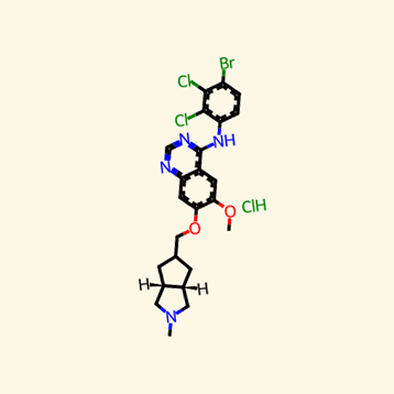 COc1cc2c(Nc3ccc(Br)c(Cl)c3Cl)ncnc2cc1OCC1C[C@@H]2CN(C)C[C@@H]2C1.Cl